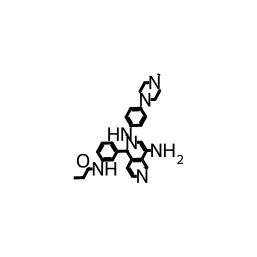 CCC(=O)Nc1cccc(C2c3ccncc3C(N)=CN2Nc2ccc(N3CCN(C)CC3)cc2)c1